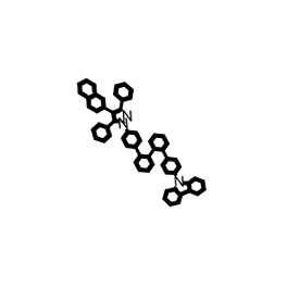 c1ccc(-c2nn(-c3ccc(-c4ccccc4-c4ccccc4-c4ccc(-n5c6ccccc6c6ccccc65)cc4)cc3)c(-c3ccccc3)c2-c2ccc3ccccc3c2)cc1